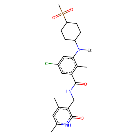 CCN(c1cc(Cl)cc(C(=O)NCc2c(C)cc(C)[nH]c2=O)c1C)C1CCC(S(C)(=O)=O)CC1